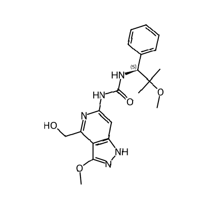 COc1n[nH]c2cc(NC(=O)N[C@@H](c3ccccc3)C(C)(C)OC)nc(CO)c12